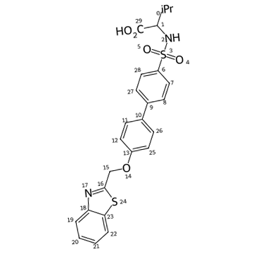 CC(C)C(NS(=O)(=O)c1ccc(-c2ccc(OCc3nc4ccccc4s3)cc2)cc1)C(=O)O